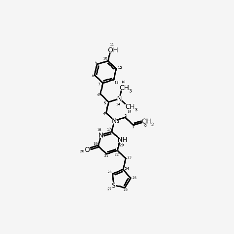 C=CCN(CC(Cc1ccc(O)cc1)N(C)C)c1nc(=O)cc(Cc2ccsc2)[nH]1